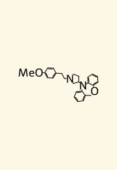 COc1ccc(CCN2CC[C@@H](N3c4ccccc4COc4ccccc43)C2)cc1